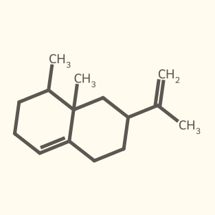 C=C(C)C1CCC2=CCCC(C)C2(C)C1